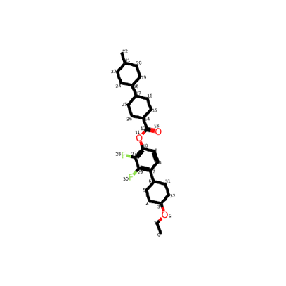 CCOC1CCC(c2ccc(OC(=O)C3CCC(C4CCC(C)CC4)CC3)c(F)c2F)CC1